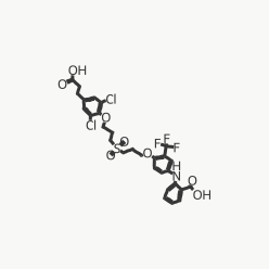 O=C(O)CCc1cc(Cl)c(OCCCS(=O)(=O)CCCOc2ccc(Nc3ccccc3C(=O)O)cc2C(F)(F)F)c(Cl)c1